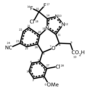 COc1cccc(C2OC(CC(=O)O)c3nnc(C(F)(F)Cl)n3-c3ccc(C#N)cc32)c1Cl